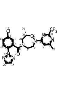 Cc1cc(N2CCN(C(=O)c3cc(Cl)ccc3-n3nccn3)C[C@H](C)O2)nc(C(F)(F)F)n1